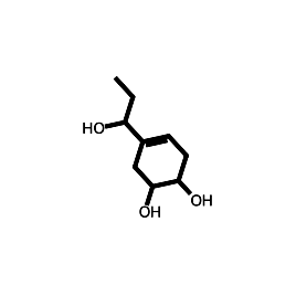 CCC(O)C1=CCC(O)C(O)C1